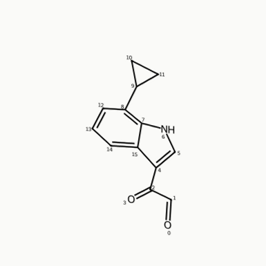 O=CC(=O)c1c[nH]c2c(C3CC3)cccc12